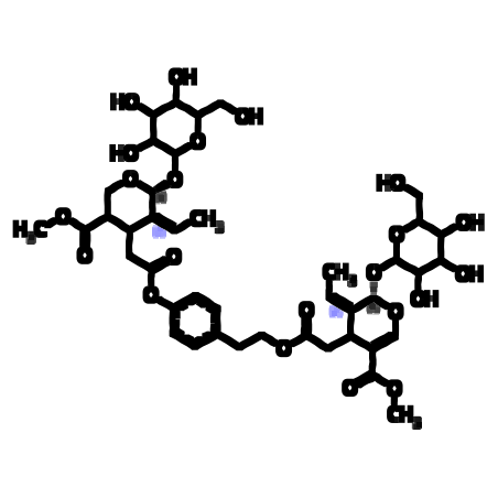 C/C=C1/C(CC(=O)OCCc2ccc(OC(=O)CC3/C(=C/C)[C@H](OC4OC(CO)C(O)C(O)C4O)OCC3C(=O)OC)cc2)C(C(=O)OC)=CO[C@H]1OC1OC(CO)C(O)C(O)C1O